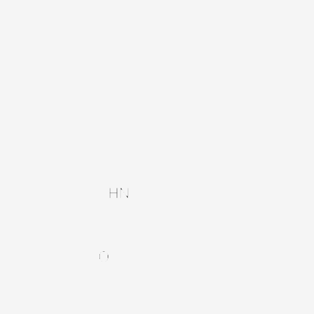 O=[C]NC1CCCC2CCCCC21